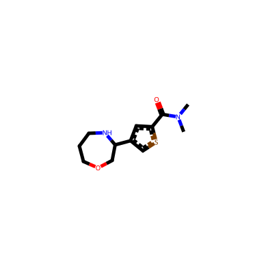 CN(C)C(=O)c1cc(C2COCCCN2)cs1